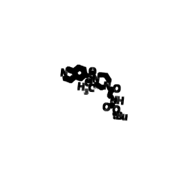 C[C@H]1CN(C(=O)CNC(=O)OC(C)(C)C)CCCN1S(=O)(=O)c1ccc2cnccc2c1